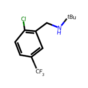 CC(C)(C)NCc1cc(C(F)(F)F)ccc1Cl